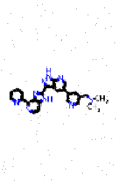 CN(C)Cc1cncc(-c2cnc3[nH]nc(-c4nc5c(-c6ccccn6)nccc5[nH]4)c3c2)c1